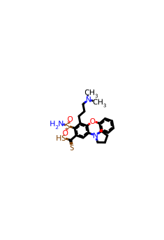 CN(C)CCCc1c(Oc2ccccc2)c(N2CCCC2)cc(C(=S)S)c1S(N)(=O)=O